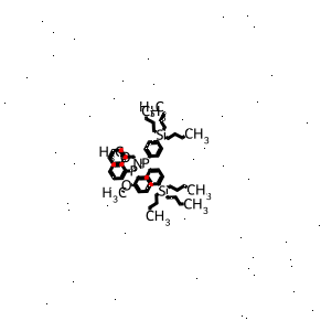 CCCC[Si](CCCC)(CCCC)c1ccc(P(c2ccc([Si](CCCC)(CCCC)CCCC)cc2)N(Cc2ccccc2)P(c2ccccc2OC)c2ccccc2OC)cc1